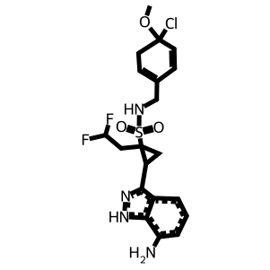 COC1(Cl)C=CC(CNS(=O)(=O)C2(CC(F)F)CC2c2n[nH]c3c(N)cccc23)=CC1